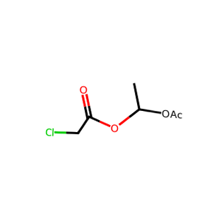 CC(=O)OC(C)OC(=O)CCl